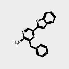 Nc1ncc(-c2cc3ccccc3o2)nc1Cc1ccccc1